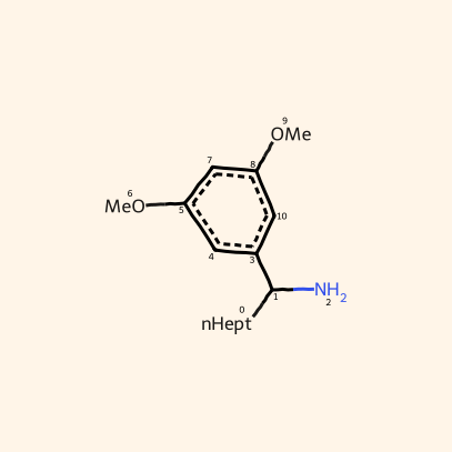 CCCCCCCC(N)c1cc(OC)cc(OC)c1